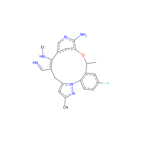 CCN/C1=C(\C=N)Cc2cc(C#N)nn2-c2ccc(F)cc2C(C)Oc2cc1cnc2N